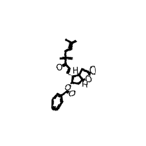 CC(C)=CCC(C)(C)C(=O)C=C[C@@H]1[C@H]2CC(=O)O[C@H]2C[C@H]1OC(=O)c1ccccc1